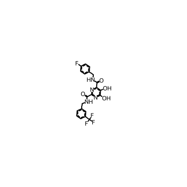 O=C(NCc1cccc(C(F)(F)F)c1)c1nc(O)c(O)c(C(=O)NCc2ccc(F)cc2)n1